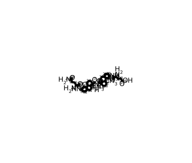 C[C@]1(C(=O)NC(=O)[C@@]2(C)CCC[C@]3(C)c4cc(NC(=O)[C@@H](N)CCC(=O)O)ccc4CC[C@@H]23)CCC[C@]2(C)c3cc(NC(=O)[C@@H](N)CCC(N)=O)ccc3CCC12